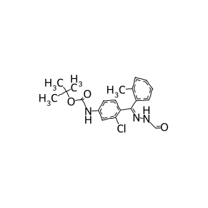 Cc1ccccc1/C(=N\NC=O)c1ccc(NC(=O)OC(C)(C)C)cc1Cl